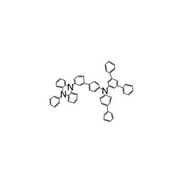 c1ccc(-c2ccc(N(c3ccc(-c4cccc(N5c6ccccc6N(c6ccccc6)c6ccccc65)c4)cc3)c3cc(-c4ccccc4)cc(-c4ccccc4)c3)cc2)cc1